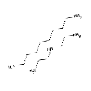 NCCCCCCCCN.NCCNCCN